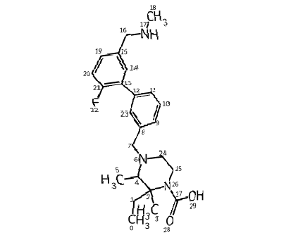 CCC1(C)C(C)N(Cc2cccc(-c3cc(CNC)ccc3F)c2)CCN1C(=O)O